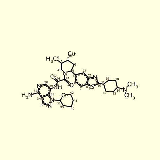 CC1CCC(c2ccc3sc(C4CCC(N(C)C)CC4)nc3c2)N(C(=O)C(=O)Nc2cnc(N)c3cnn(C4CCCCO4)c23)C1.[Cu]